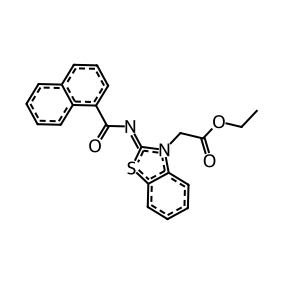 CCOC(=O)Cn1c(=NC(=O)c2cccc3ccccc23)sc2ccccc21